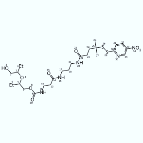 CCC(CO)OC(CC)COC(=O)NCCC(=O)NCCCNC(=O)CCC(C)(C)SSc1ccc([N+](=O)[O-])cn1